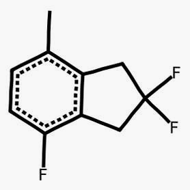 Cc1ccc(F)c2c1CC(F)(F)C2